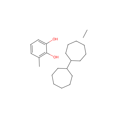 C1CCCC(C2CCCCCC2)CC1.CC.Cc1cccc(O)c1O